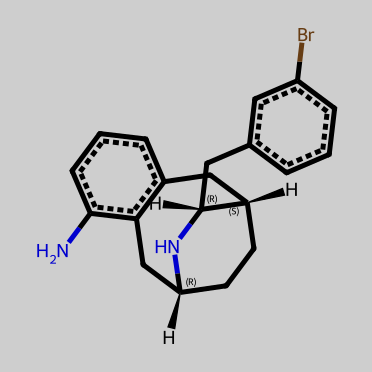 Nc1cccc2c1C[C@H]1CC[C@@H](C2)[C@@H](Cc2cccc(Br)c2)N1